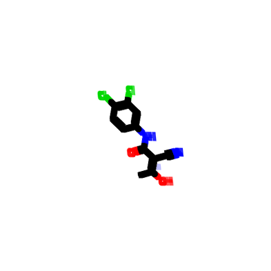 C/C(O)=C(/C#N)C(=O)Nc1ccc(Cl)c(Cl)c1